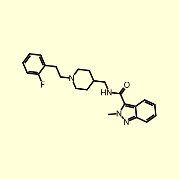 Cn1nc2ccccc2c1C(=O)NCC1CCN(CCc2ccccc2F)CC1